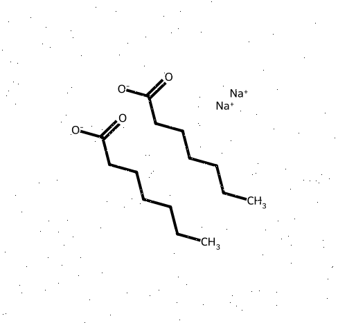 CCCCCCC(=O)[O-].CCCCCCC(=O)[O-].[Na+].[Na+]